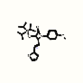 COc1ccc(N2C(=O)C(O[Si](C(C)C)(C(C)C)C(C)C)C2/C=C/c2ccco2)cc1